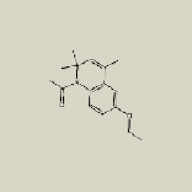 CCOc1ccc2c(c1)C(C)=CC(C)(C)N2C(C)=O